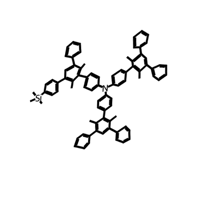 Cc1c(-c2ccccc2)cc(-c2ccccc2)c(C)c1-c1ccc(N(c2ccc(-c3c(C)c(-c4ccccc4)cc(-c4ccccc4)c3C)cc2)c2ccc(-c3c(C)c(-c4ccccc4)cc(-c4ccc([Si](C)(C)C)cc4)c3C)cc2)cc1